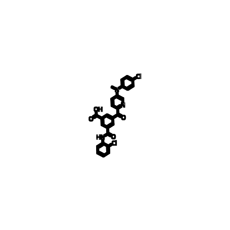 CN(c1ccc(Cl)cc1)c1ccc(C(=O)c2cc(C(=O)O)cc(C(=O)Nc3ccccc3Cl)c2)nc1